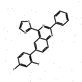 Fc1ccc(-c2ccc3nc(-c4ccccc4)nc(-c4nccs4)c3c2)c(F)c1